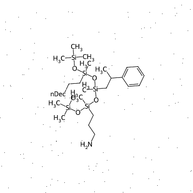 CCCCCCCCCCCC[Si](C)(O[Si](C)(C)C)O[Si](C)(CC(C)c1ccccc1)O[Si](C)(CCCN)O[Si](C)(C)C